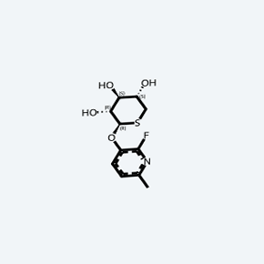 Cc1ccc(O[C@@H]2SC[C@@H](O)[C@H](O)[C@H]2O)c(F)n1